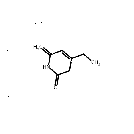 C=C1C=C(CC)CC(=O)N1